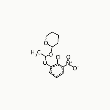 CC(Oc1cccc([N+](=O)[O-])c1Cl)OC1CCCCO1